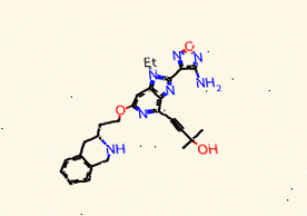 CCn1c(-c2nonc2N)nc2c(C#CC(C)(C)O)nc(OCCC3Cc4ccccc4CN3)cc21